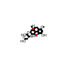 COc1cc(O)c2c3c1C[C@@H]1[C@@H]4CC[C@H](N[C@@H](CC(=O)O)C(=O)O)[C@H](O2)[C@]34CCN1C